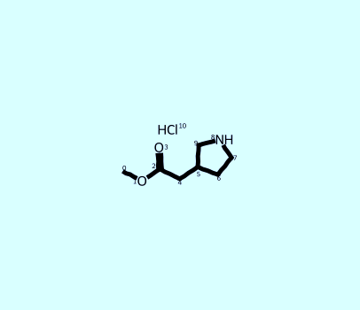 COC(=O)CC1CCNC1.Cl